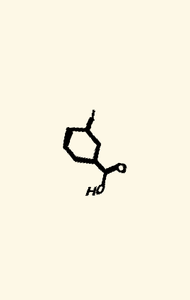 O=C(O)C1CC=CC(I)C1